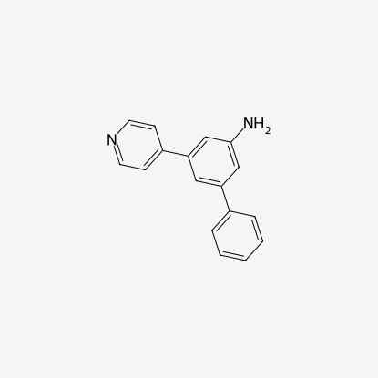 Nc1cc(-c2ccccc2)cc(-c2ccncc2)c1